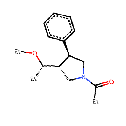 CCO[C@@H](CC)[C@H]1CN(C(=O)CC)C[C@@H]1c1ccccc1